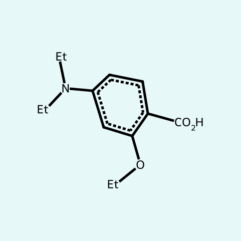 CCOc1cc(N(CC)CC)ccc1C(=O)O